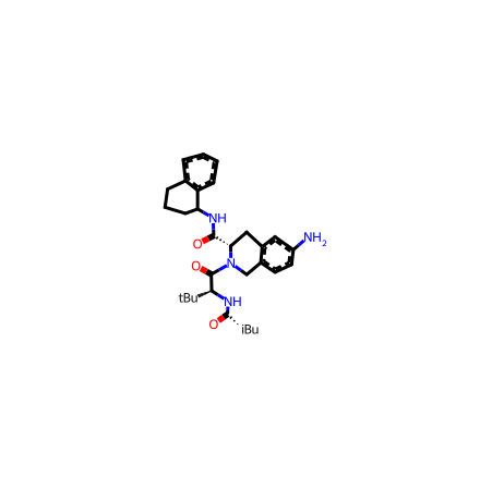 CC[C@@H](C)C(=O)N[C@H](C(=O)N1Cc2ccc(N)cc2C[C@H]1C(=O)NC1CCCc2ccccc21)C(C)(C)C